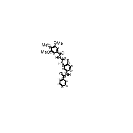 COc1cc(C(=O)NC(=S)Nc2cc(NC(=O)c3ccccc3)ccc2F)cc(OC)c1OC